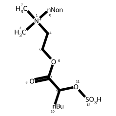 CCCCCCCCC[N+](C)(C)CCOC(=O)C(CCCC)OS(=O)(=O)O